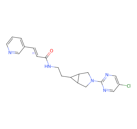 O=C(/C=C/c1cccnc1)NCCC1C2CN(c3ncc(Cl)cn3)CC12